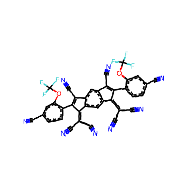 N#CC(C#N)=C1C(c2ccc(C#N)cc2OC(F)(F)F)=C(C#N)c2cc3c(cc21)C(=C(C#N)C#N)C(c1ccc(C#N)cc1OC(F)(F)F)=C3C#N